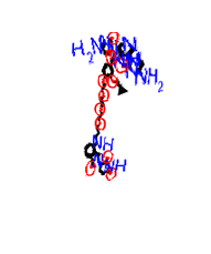 Nc1ccn(-c2cncc(-n3ccc(N)nc3=O)c2NC(=O)c2ccc(OCCOCCOCCOCCCNc3cccc4c3CN(C3CCC(=O)NC3=O)C4=O)c(OCC3CC3)c2)c(=O)n1